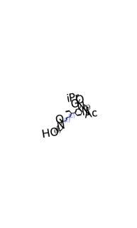 C=C/C(=C\C=C\C(=O)N1CC[C@H](O)C1)c1ccc2c(c1)N(C(=O)OC(C)C)C[C@H](C)N2C(C)=O